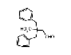 O=CCC(Cc1ccccc1)(Cc1ccccc1)C(=O)O